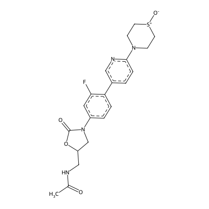 CC(=O)NCC1CN(c2ccc(-c3ccc(N4CC[S+]([O-])CC4)nc3)c(F)c2)C(=O)O1